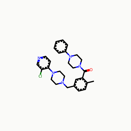 Cc1ccc(CN2CCN(c3ccncc3Cl)CC2)cc1C(=O)N1CCN(c2ccccc2)CC1